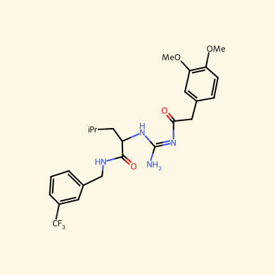 COc1ccc(CC(=O)N=C(N)NC(CC(C)C)C(=O)NCc2cccc(C(F)(F)F)c2)cc1OC